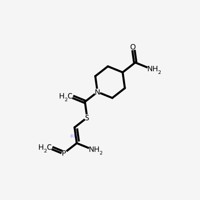 C=P/C(N)=C/SC(=C)N1CCC(C(N)=O)CC1